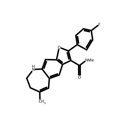 CNC(=O)c1c(-c2ccc(F)cc2)oc2cc3c(cc12)C=C(C)CCN3